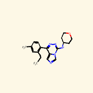 FC(F)(F)Cc1cc(C(F)(F)F)ccc1-c1nnc(NC2CCOCC2)n2cncc12